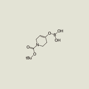 CC(C)(C)OC(=O)N1CC=C(OB(O)O)CC1